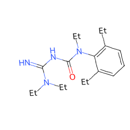 CCc1cccc(CC)c1N(CC)C(=O)NC(=N)N(CC)CC